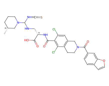 C[C@@H]1CCCN(C(N=C=S)NC[C@H](NC(=O)c2c(Cl)cc3c(c2Cl)CCN(C(=O)c2ccc4ccoc4c2)C3)C(=O)O)C1